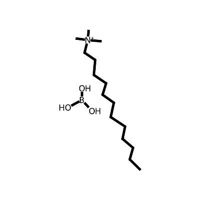 CCCCCCCCCCCC[N+](C)(C)C.OB(O)O